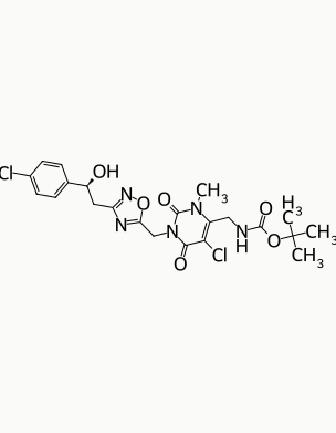 Cn1c(CNC(=O)OC(C)(C)C)c(Cl)c(=O)n(Cc2nc(C[C@H](O)c3ccc(Cl)cc3)no2)c1=O